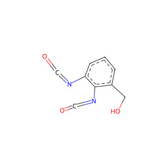 O=C=Nc1cccc(CO)c1N=C=O